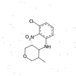 CC1COCCC1Nc1cccc(Cl)c1[N+](=O)[O-]